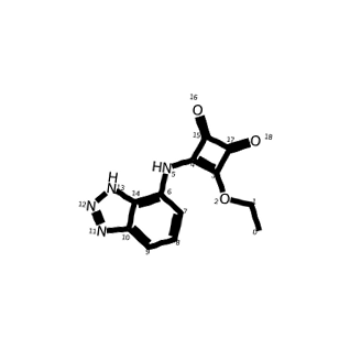 CCOc1c(Nc2cccc3nn[nH]c23)c(=O)c1=O